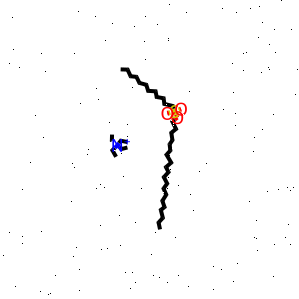 CCCCCCCCCCCCCCCCCCCCOS(=O)(=O)CCCCCCCCCCCC.CC[N+](CC)(CC)CC